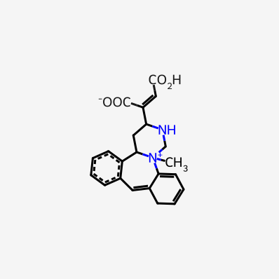 C[N+]12CNC(/C(=C/C(=O)O)C(=O)[O-])CC1c1ccccc1C=C1CC=CC=C12